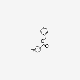 C[C@@H]1CC[C@H](C(=O)OCc2ccccc2)C1